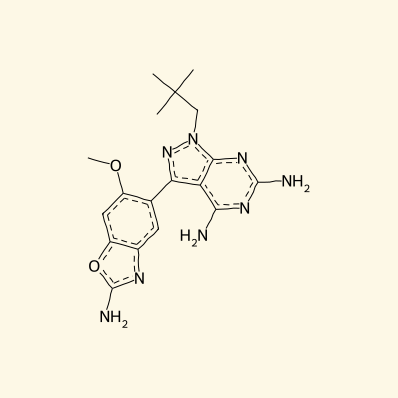 COc1cc2oc(N)nc2cc1-c1nn(CC(C)(C)C)c2nc(N)nc(N)c12